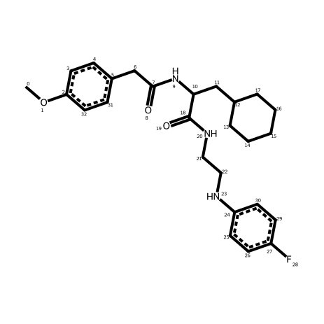 COc1ccc(CC(=O)NC(CC2CCCCC2)C(=O)NCCNc2ccc(F)cc2)cc1